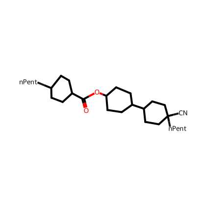 CCCCCC1CCC(C(=O)OC2CCC(C3CCC(C#N)(CCCCC)CC3)CC2)CC1